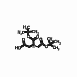 CC(C)(C)OC(=O)C[C@H](CC(=O)O)C(=O)OC(C)(C)C